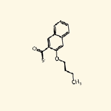 CCCCOc1cc2ccccc2cc1C(=O)[S]